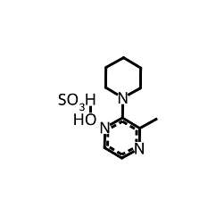 Cc1nccnc1N1CCCCC1.O=S(=O)(O)O